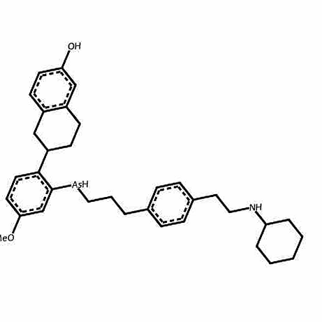 COc1ccc(C2CCc3cc(O)ccc3C2)c([AsH]CCCc2ccc(CCNC3CCCCC3)cc2)c1